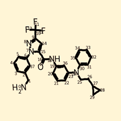 NCc1cccc(-n2nc(C(F)(F)F)cc2C(=O)Nc2cccc(N(CCC3CC3)c3ccccc3)c2)c1